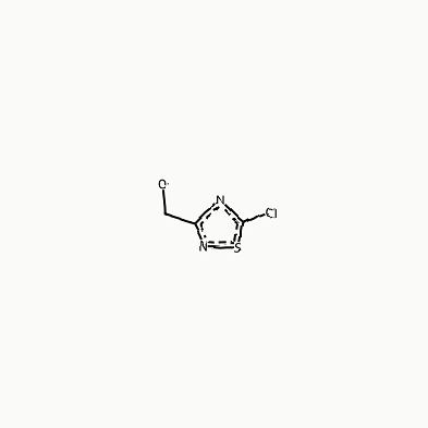 [O]Cc1nsc(Cl)n1